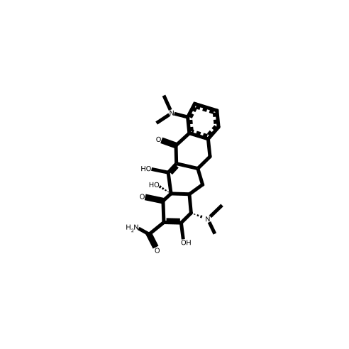 CN(C)c1cccc2c1C(=O)C1=C(O)[C@]3(O)C(=O)C(C(N)=O)=C(O)[C@@H](N(C)C)C3CC1C2